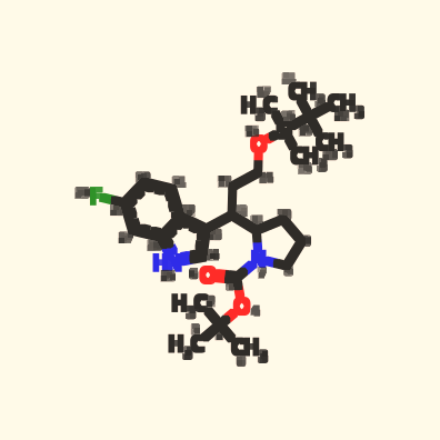 CC(C)(C)OC(=O)N1CCCC1C(CCO[Si](C)(C)C(C)(C)C)c1c[nH]c2cc(F)ccc12